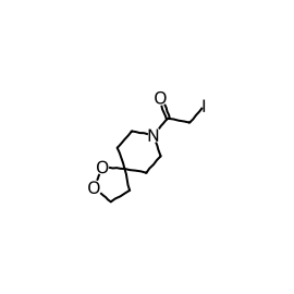 O=C(CI)N1CCC2(CCOO2)CC1